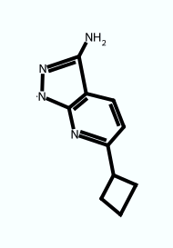 NC1=N[N]c2nc(C3CCC3)ccc21